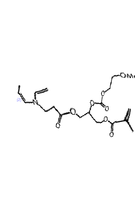 C=CN(/C=C\C)CCC(=O)OCC(COC(=O)C(=C)C)OC(=O)OCCOC